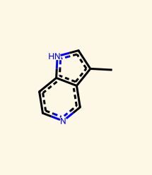 Cc1c[nH]c2ccncc12